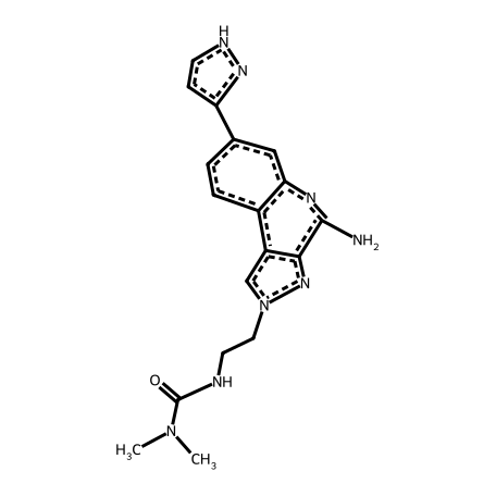 CN(C)C(=O)NCCn1cc2c(n1)c(N)nc1cc(-c3cc[nH]n3)ccc12